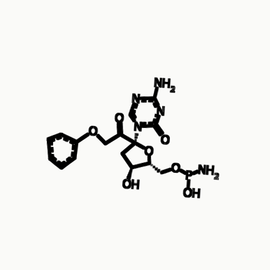 Nc1ncn([C@@]2(C(=O)COc3ccccc3)C[C@H](O)[C@@H](COP(N)O)O2)c(=O)n1